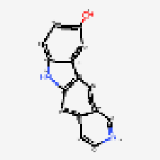 Oc1ccc2[nH]c3cc4ccncc4cc3c2c1